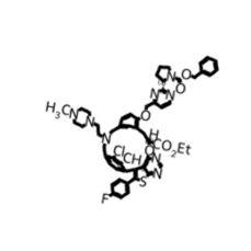 CCOC(=O)[C@H]1Cc2cc(ccc2OCc2ccnc([C@@H]3CCCN3C(=O)OCc3ccccc3)n2)CN(CCN2CCN(C)CC2)Cc2ccc(c(C)c2Cl)-c2c(-c3ccc(F)cc3)sc3ncnc(c23)O1